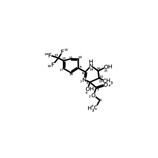 CCOC(=O)C1(O)N=C(c2ccc(C(F)(F)F)cc2)NC(O)C1C